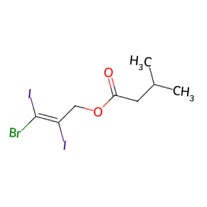 CC(C)CC(=O)OCC(I)=C(Br)I